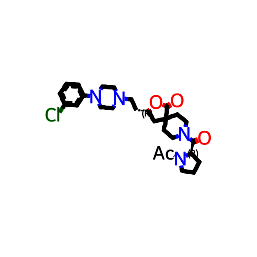 CC(=O)N1CCC[C@@H]1C(=O)N1CCC2(CC1)C[C@H](CCN1CCN(c3cccc(Cl)c3)CC1)OC2=O